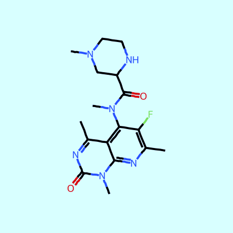 Cc1nc2c(c(C)nc(=O)n2C)c(N(C)C(=O)C2CN(C)CCN2)c1F